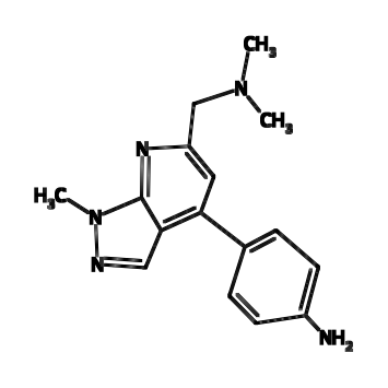 CN(C)Cc1cc(-c2ccc(N)cc2)c2cnn(C)c2n1